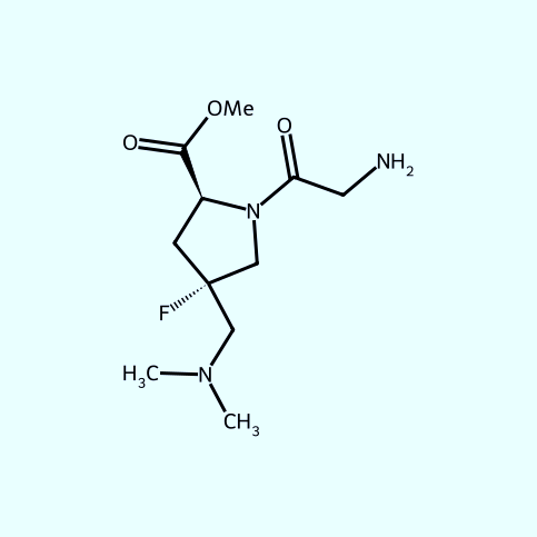 COC(=O)[C@@H]1C[C@](F)(CN(C)C)CN1C(=O)CN